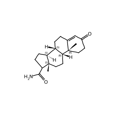 C[C@]12CCC(=O)C=C1CC[C@@H]1[C@H]2CC[C@]2(C)C(C(N)=O)CC[C@@H]12